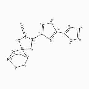 O=C1OC2(CN3CCC2CC3)CN1c1coc(-c2ccco2)c1